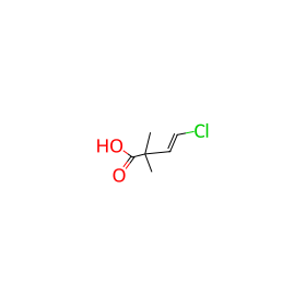 CC(C)(C=CCl)C(=O)O